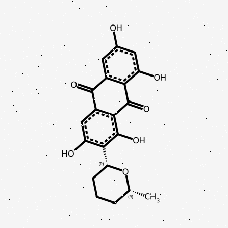 C[C@@H]1CCC[C@H](c2c(O)cc3c(c2O)C(=O)c2c(O)cc(O)cc2C3=O)O1